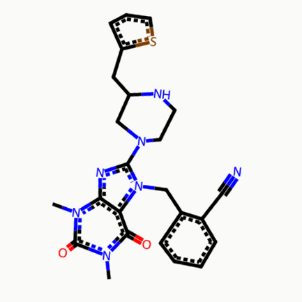 Cn1c(=O)c2c(nc(N3CCNC(Cc4cccs4)C3)n2Cc2ccccc2C#N)n(C)c1=O